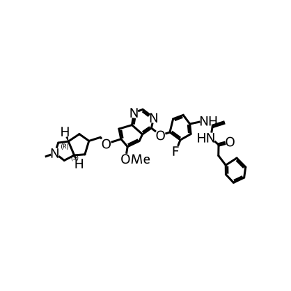 C=C(NC(=O)Cc1ccccc1)Nc1ccc(Oc2ncnc3cc(OCC4C[C@@H]5CN(C)C[C@@H]5C4)c(OC)cc23)c(F)c1